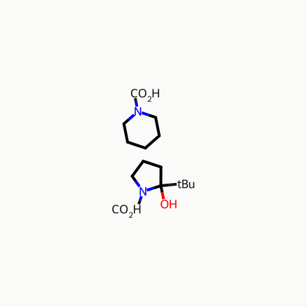 CC(C)(C)C1(O)CCCN1C(=O)O.O=C(O)N1CCCCC1